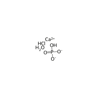 Cl.O.O=P([O-])([O-])O.[Ca+2]